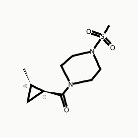 C[C@H]1C[C@@H]1C(=O)N1CCN(S(C)(=O)=O)CC1